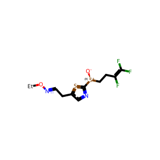 CCO/N=C/Cc1cnc([S@@+]([O-])CCC(F)=C(F)F)s1